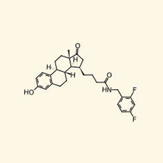 C[C@]12CC[C@@H]3c4ccc(O)cc4CC[C@H]3[C@@H]1[C@H](CCCC(=O)NCc1ccc(F)cc1F)CC2=O